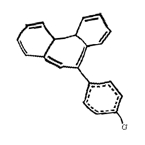 Clc1ccc(C2=C3C=CC=CC3C3C=CC=CC3=C2)cc1